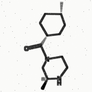 C[C@H]1CN(C(=O)[C@H]2CC[C@@H](C)CC2)CCN1